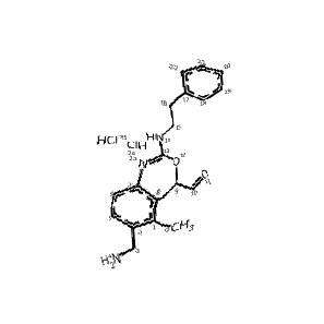 Cc1c(CN)ccc2c1C(C=O)OC(NCCc1ccccc1)=N2.Cl.Cl